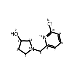 OC1CCN(Cc2cccc(Cl)n2)C1